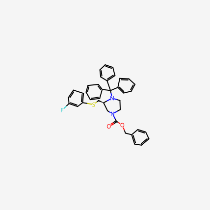 O=C(OCc1ccccc1)N1CCN(C(c2ccccc2)(c2ccccc2)c2ccccc2)[C@H](CSc2cccc(F)c2)C1